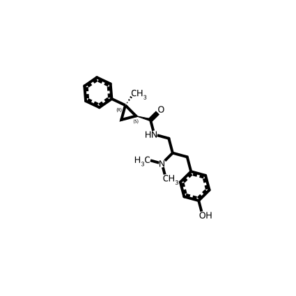 CN(C)C(CNC(=O)[C@H]1C[C@@]1(C)c1ccccc1)Cc1ccc(O)cc1